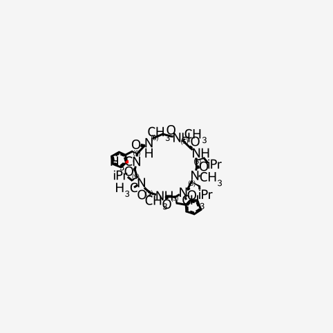 CC(C)C[C@@H]1NC(=O)[C@H](C)NC(=O)C[C@H](C)NC(=O)[C@H](Cc2ccccc2)N(C)C(=O)[C@H](CC(C)C)N(C)C(=O)[C@H](C)NC(=O)[C@H](Cc2ccccc2)N(C)C(=O)[C@H](CC(C)C)N(C)C1=O